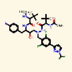 COC(=O)NC(C(=O)NN(Cc1c(F)cc(-c2ccn(C(F)F)n2)cc1F)CC(O)C(Cc1ccc(I)cc1)NC(=O)C(NC(=O)O)C(C)(C)C(F)(F)F)C(C)(C)C(F)(F)F